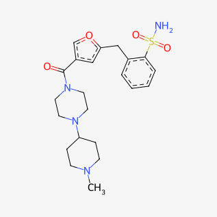 CN1CCC(N2CCN(C(=O)c3coc(Cc4ccccc4S(N)(=O)=O)c3)CC2)CC1